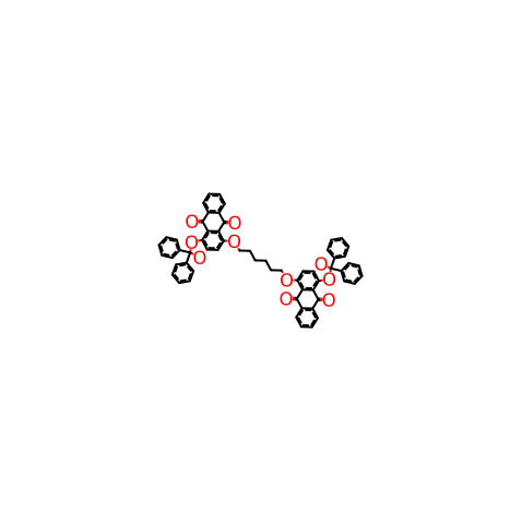 O=C1c2ccccc2C(=O)c2c3c(cc(OCCCCCCOc4cc5c(c6c4C(=O)c4ccccc4C6=O)OC(c4ccccc4)(c4ccccc4)O5)c21)OC(c1ccccc1)(c1ccccc1)O3